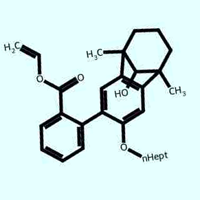 C=COC(=O)c1ccccc1-c1cc2c(cc1OCCCCCCC)C1(C)CCCC2(C)C1O